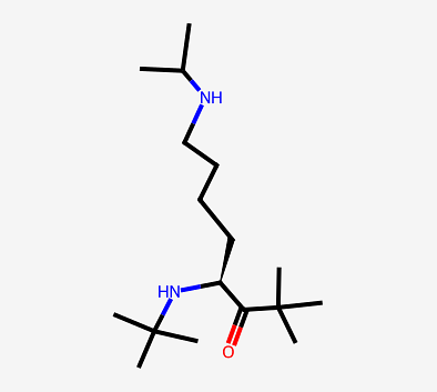 CC(C)NCCCC[C@H](NC(C)(C)C)C(=O)C(C)(C)C